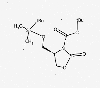 CC(C)(C)OC(=O)N1[C@H](CO[Si](C)(C)C(C)(C)C)COS1=O